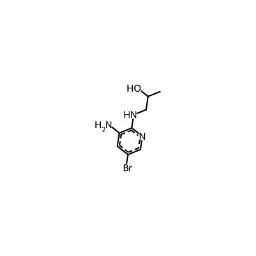 CC(O)CNc1ncc(Br)cc1N